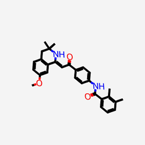 COc1ccc2c(c1)C(=CC(=O)c1ccc(NC(=O)c3cccc(C)c3C)cc1)NC(C)(C)C2